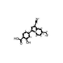 N#Cc1cc(-c2ccc(C(=O)O)c(O)c2)n2ccc(CF)cc12